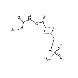 CC(C)(C)OC(=O)NOC(=O)C1CC(COS(C)(=O)=O)C1